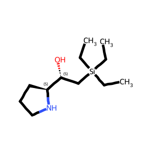 CC[Si](CC)(CC)C[C@@H](O)[C@@H]1CCCN1